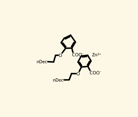 CCCCCCCCCCCCOc1ccccc1C(=O)[O-].CCCCCCCCCCCCOc1ccccc1C(=O)[O-].[Zn+2]